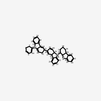 C1=CCCC(n2c3c(c4ccccc42)=CC(C2=CC4c5ccccc5N(C5CCCC6c7ccccc7SC65)C4C=C2)CC=3)=C1